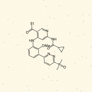 CCC(=O)c1cnc(NC(=O)C2CC2)cc1Nc1cccc(-c2ccc(P(C)(C)=O)nn2)c1OC